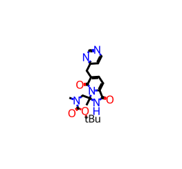 CN(CC1(C)NC(=O)c2ccc(Cc3ccncn3)c(=O)n21)C(=O)OC(C)(C)C